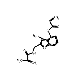 C=CC(=O)Oc1cccc2oc(CNC(=O)C(=C)C)c(C)c12